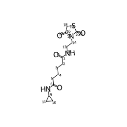 O=C(CCCCC(=O)NC1CC1)NCCN1C(=O)CSC1=O